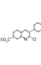 CCOC(=O)c1ccc2cc(-c3ccccc3)c(Cl)nc2c1